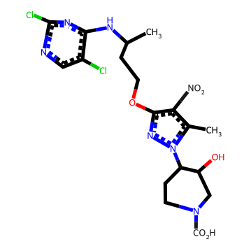 Cc1c([N+](=O)[O-])c(OCCC(C)Nc2nc(Cl)ncc2Cl)nn1C1CCN(C(=O)O)CC1O